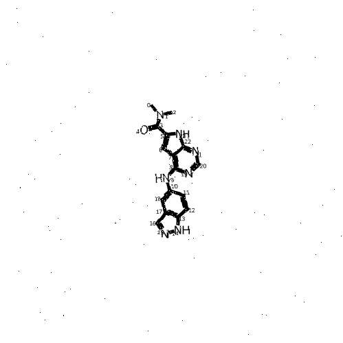 CN(C)C(=O)c1cc2c(Nc3ccc4[nH]ncc4c3)ncnc2[nH]1